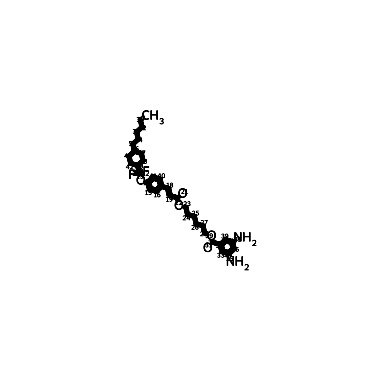 CCCCCCC1CCC(C(F)(F)Oc2ccc(C=CC(=O)OCCCCCCOC(=O)c3cc(N)cc(N)c3)cc2)CC1